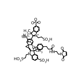 CC1(C)C(=C2CC23C(Oc2ccc(CCC(=O)NCCN4C(=O)C=CC4=O)cc2)=C2CC(C(C)(C)C)C3C=C2C2=[N+](CCS(=O)(=O)O)c3ccc(S(=O)(=O)[O-])cc3C2(C)C)N(CCS(=O)(=O)O)c2ccc(S(=O)(=O)O)cc21